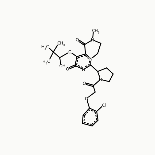 CN1CCn2c(C3CCCN3C(=O)COc3ccccc3Cl)nc(=O)c(OC(O)C(C)(C)C)c2C1=O